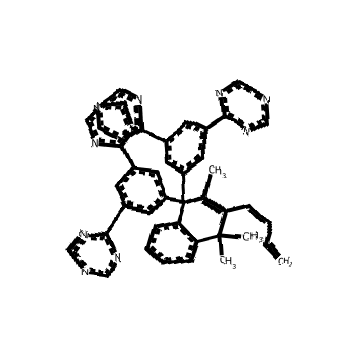 C=C/C=C\C1=C(C)C(c2cc(-c3ncncn3)cc(-c3ncncn3)c2)(c2cc(-c3ncncn3)cc(-c3ncncn3)c2)c2ccccc2C1(C)C